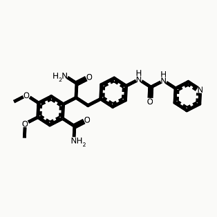 COc1cc(C(N)=O)c(C(Cc2ccc(NC(=O)Nc3cccnc3)cc2)C(N)=O)cc1OC